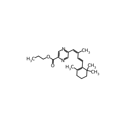 CCCOC(=O)c1cnc(C=C(C)C=CC2=C(C)CCCC2(C)C)cn1